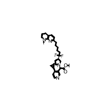 O=C(OI)[C@@H](c1cnccc1C1CC1)N1CC[C@@H](C(F)(F)CCCCCc2ccc3c(n2)N(I)CCC3)C1